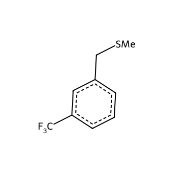 [CH2]SCc1cccc(C(F)(F)F)c1